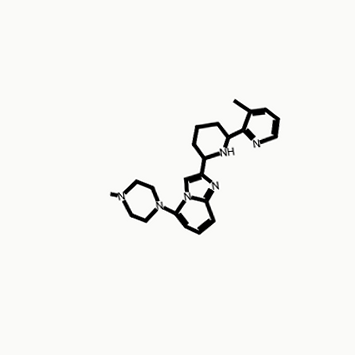 Cc1cccnc1C1CCCC(c2cn3c(N4CCN(C)CC4)cccc3n2)N1